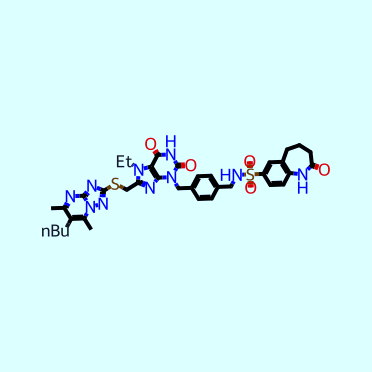 CCCCc1c(C)nc2nc(SCc3nc4c(c(=O)[nH]c(=O)n4Cc4ccc(CNS(=O)(=O)c5ccc6c(c5)CCCC(=O)N6)cc4)n3CC)nn2c1C